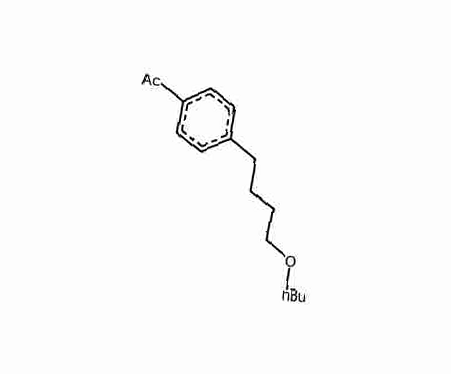 CCCCOCCCCc1ccc(C(C)=O)cc1